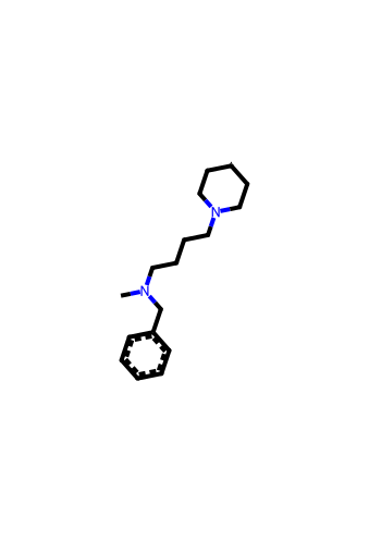 CN(CCCCN1CC[CH]CC1)Cc1ccccc1